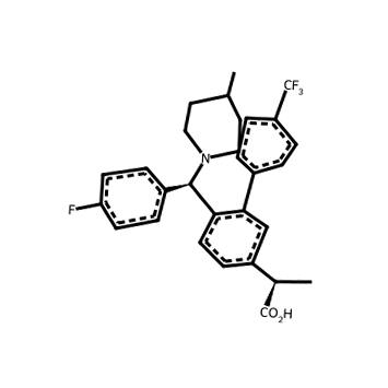 CC1CCN([C@H](c2ccc(F)cc2)c2ccc([C@@H](C)C(=O)O)cc2-c2ccc(C(F)(F)F)cc2)CC1